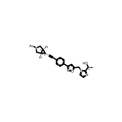 CC(=O)N1C[C@@H]2[C@@H](C#Cc3ccc(-c4cc(Cn5ccnc5[C@H](C)O)on4)cc3)[C@@H]2C1